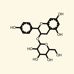 OCC1OC(OC2Cc3c(O)cc(O)cc3OC2c2ccc(O)cc2)C(O)C(O)C1O